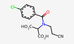 N#CCCN(C(=O)c1ccc(Cl)cc1)C(C(=O)O)C(=O)O